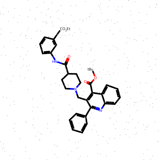 CCOC(=O)c1cccc(NC(=O)C2CCN(Cc3c(-c4ccccc4)nc4ccccc4c3C(=O)OC(C)(C)C)CC2)c1